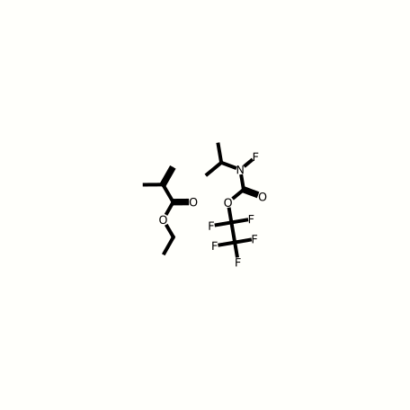 C=C(C)C(=O)OCC.CC(C)N(F)C(=O)OC(F)(F)C(F)(F)F